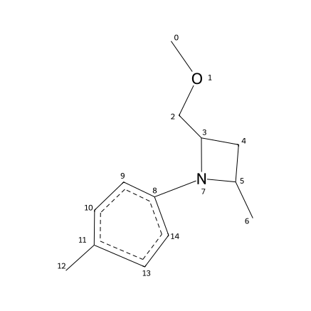 COCC1CC(C)N1c1ccc(C)cc1